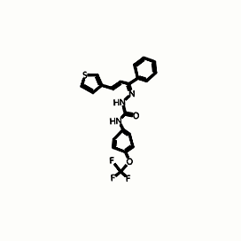 O=C(NN=C(C=Cc1ccsc1)c1ccccc1)Nc1ccc(OC(F)(F)F)cc1